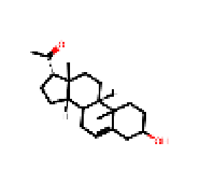 CC(=O)[C@H]1CC[C@H]2C3CC=C4CC(O)CCC4(C)[C@H]3CCC12C